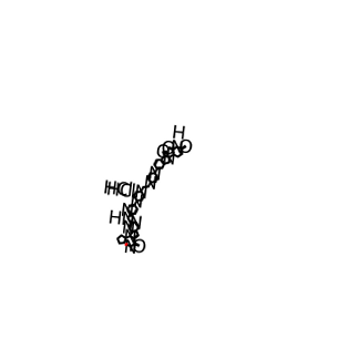 CN(C)C(=O)c1cc2cnc(Nc3ccc(N4CCN(CCN5CCN(c6ccc7c(c6)CN(C6CCC(=O)NC6=O)C7=O)CC5)CC4)cn3)nc2n1C1CCCC1.Cl.Cl